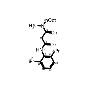 CCCCCCCCN(C)C(=O)CC(=O)Nc1c(C(C)C)cccc1C(C)C